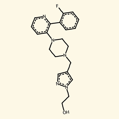 OCCn1cc(CN2CCN(c3cccnc3-c3ccccc3F)CC2)cn1